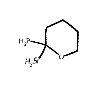 [SiH3]C1(P)CCCCO1